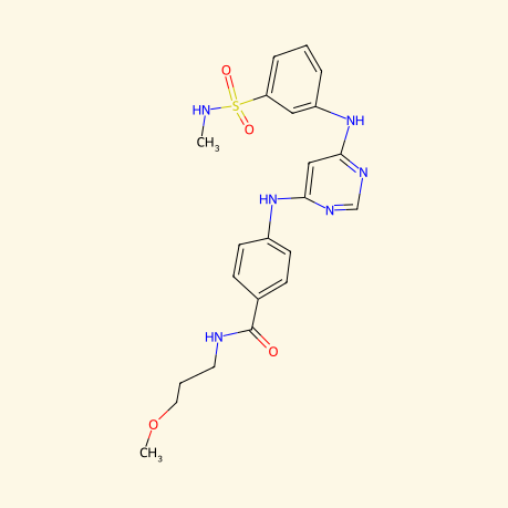 CNS(=O)(=O)c1cccc(Nc2cc(Nc3ccc(C(=O)NCCCOC)cc3)ncn2)c1